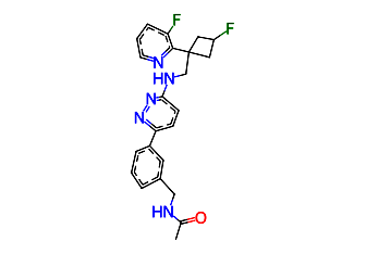 CC(=O)NCc1cccc(-c2ccc(NCC3(c4ncccc4F)CC(F)C3)nn2)c1